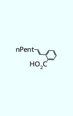 CCCCC/C=C/c1ccccc1C(=O)O